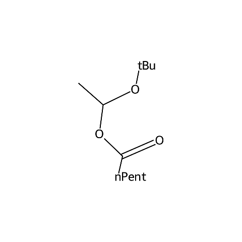 CCCCCC(=O)OC(C)OC(C)(C)C